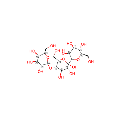 OC[C@H]1O[C@@H](O[C@H]2[C@H](O)[C@@H](O)C(O)(C3O[C@H](CO)[C@@H](O)[C@H](O)[C@@H]3O)O[C@@H]2CO)[C@H](O)[C@@H](O)[C@H]1O